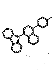 Cc1ccc(-c2ccc(-n3c4ccccc4c4ccccc43)c3ccccc23)cc1